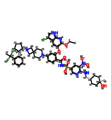 CCOc1nc2[nH]cc(F)c2cc1Oc1cc(N2CCC3(CC2)CN([C@H]2CCC[C@H]2c2ccccc2C(C)(F)F)C3)ccc1C(=O)NS(=O)(=O)c1cnc(NC[C@H]2CC[C@](C)(O)CC2)c([N+](=O)[O-])c1